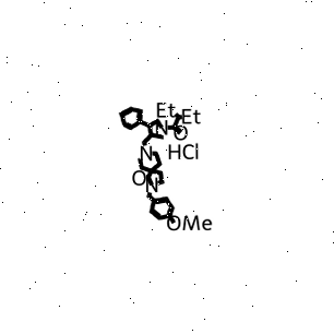 CCC(CC)C(=O)N1CC(CN2CCC3(CC2)CCN(Cc2ccc(OC)cc2)C3=O)C(c2ccccc2)C1.Cl